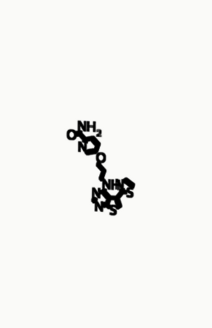 NC(=O)c1ccc(OCCCNc2ncnc3scc(-c4nccs4)c23)cn1